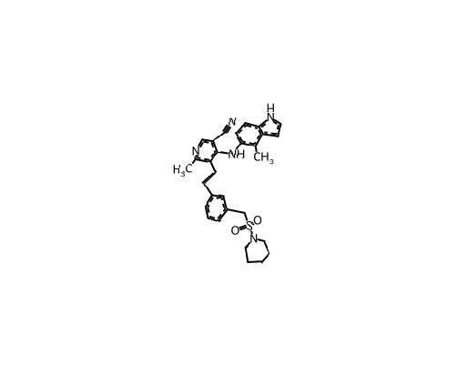 Cc1ncc(C#N)c(Nc2ccc3[nH]ccc3c2C)c1C=Cc1cccc(CS(=O)(=O)N2CCCCC2)c1